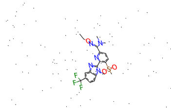 CCON=C(c1ccc(S(C)(=O)=O)c(-c2nc3cc(C(F)(F)F)ccc3n2C)n1)N(C)C